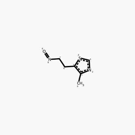 Cc1ncsc1CCN=O